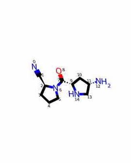 N#C[C@@H]1CCCN1C(=O)[C@@H]1C[C@H](N)CN1